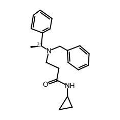 C[C@@H](c1ccccc1)N(CCC(=O)NC1CC1)Cc1ccccc1